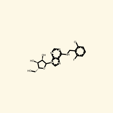 OC[C@H]1OC(n2cnc3c(NCc4c(F)cccc4Cl)ncnc32)[C@H](O)[C@@H]1O